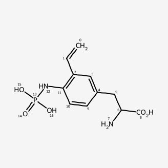 C=Cc1cc(CC(N)C(=O)O)ccc1NP(=O)(O)O